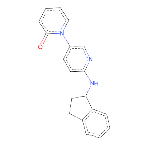 O=c1ccccn1-c1ccc(NC2CCc3ccccc32)nc1